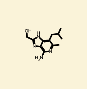 Cc1nc(N)c2nc(CO)[nH]c2c1CC(C)C